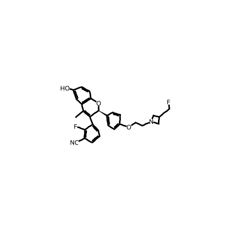 CC1=C(c2cccc(C#N)c2F)[C@H](c2ccc(OCCN3CC(CF)C3)cc2)Oc2ccc(O)cc21